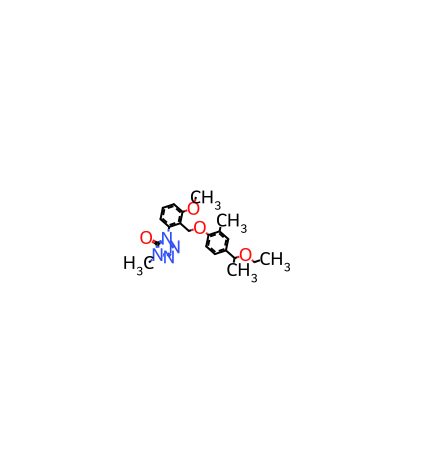 CCOC(C)c1ccc(OCc2c(OC)cccc2-n2nnn(C)c2=O)c(C)c1